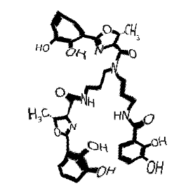 C[C@H]1OC(c2cccc(O)c2O)=NC1C(=O)N(CCCNC(=O)c1cccc(O)c1O)CCCNC(=O)[C@H]1N=C(c2cccc(O)c2O)O[C@@H]1C